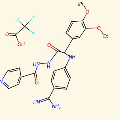 CCOc1cc(C(Nc2ccc(C(=N)N)cc2)C(=O)NNC(=O)c2ccncc2)ccc1OC(C)C.O=C(O)C(F)(F)F